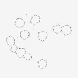 CC1(C)c2ccccc2-c2c(N(c3ccc(-c4cccc5oc6cc7oc(-c8ccccc8)nc7cc6c45)cc3)c3cccc(-c4ccc5ccccc5c4)c3)cccc21